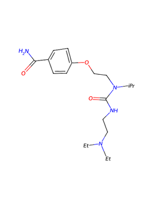 CCN(CC)CCNC(=O)N(CCOc1ccc(C(N)=O)cc1)C(C)C